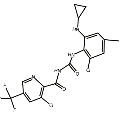 Cc1cc(Cl)c(NC(=O)NC(=O)c2ncc(C(F)(F)F)cc2Cl)c(NC2CC2)c1